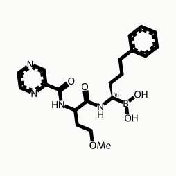 COCCC(NC(=O)c1cnccn1)C(=O)N[C@@H](CCCc1ccccc1)B(O)O